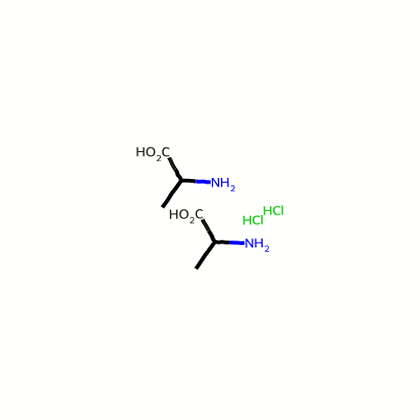 CC(N)C(=O)O.CC(N)C(=O)O.Cl.Cl